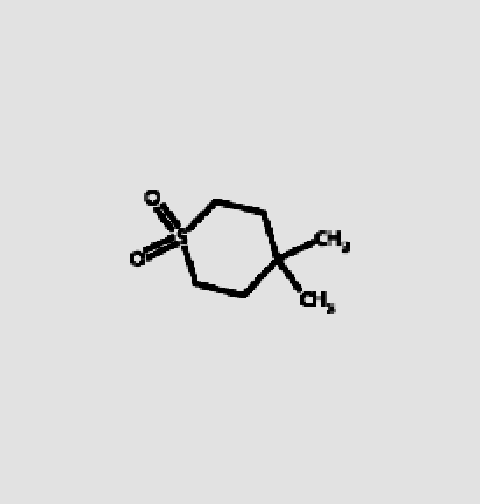 CC1(C)CCS(=O)(=O)CC1